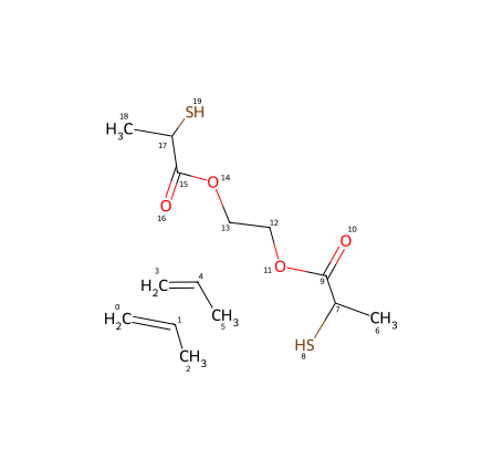 C=CC.C=CC.CC(S)C(=O)OCCOC(=O)C(C)S